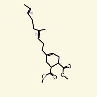 C/C=C/CC/C(C)=C/CCC1=CCC(C(=O)OC)C(C(=O)OC)C1